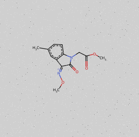 CO/N=C1\C(=O)N(CC(=O)OC)c2ccc(C)cc21